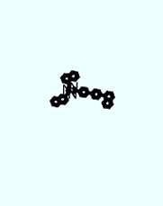 c1ccc2cc(-c3nc(-c4ccc(-c5ccc(-c6cccc7ccccc67)cc5)cc4)nc(-c4cccc5ccccc45)n3)ccc2c1